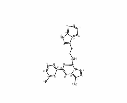 CC(=O)c1cnn2c(NCCc3c[nH]c4ccccc34)cc(-c3cncc(F)c3)nc12